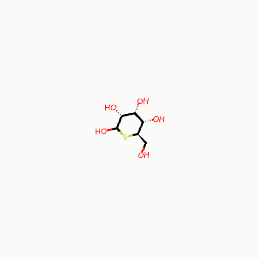 OC[C@H]1SC(O)[C@H](O)[C@H](O)[C@@H]1O